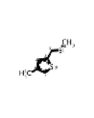 CSCc1cc(C)cs1